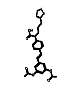 CC(=O)Oc1cc(C=Cc2ccc(C(CCCC3CCSS3)C(=O)O)cc2)cc(OC(C)=O)c1